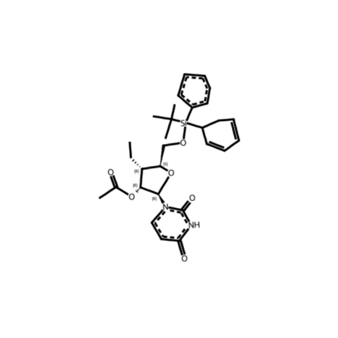 CC[C@H]1[C@@H](OC(C)=O)[C@H](n2ccc(=O)[nH]c2=O)O[C@@H]1CO[Si](c1ccccc1)(C1C=CC=CC1)C(C)(C)C